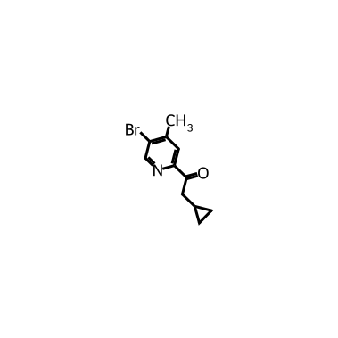 Cc1cc(C(=O)CC2CC2)ncc1Br